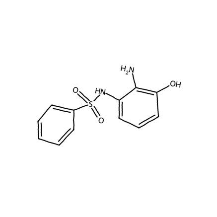 Nc1c(O)cccc1NS(=O)(=O)c1ccccc1